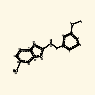 COc1cccc(CNc2nc3ccc(O)cc3o2)c1